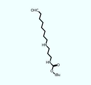 CC(C)(C)OC(=O)NCCCNCCCCCCCC=O